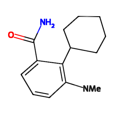 CNc1cccc(C(N)=O)c1C1CCCCC1